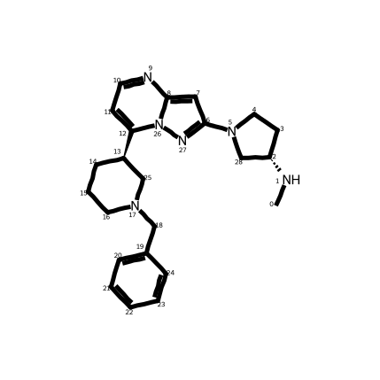 CN[C@H]1CCN(c2cc3nccc([C@@H]4CCCN(Cc5ccccc5)C4)n3n2)C1